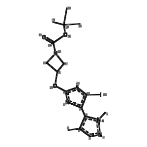 Cc1cnn(C)c1-c1nc(OC2CN(C(=O)OC(C)(C)C)C2)sc1I